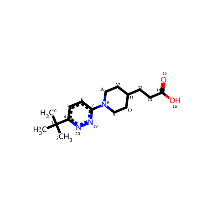 CC(C)(C)c1ccc(N2CCC(CCC(=O)O)CC2)nn1